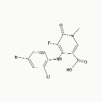 Cn1cc(C(=O)O)c(Nc2ccc(Br)cc2Cl)c(F)c1=O